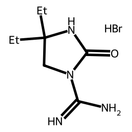 Br.CCC1(CC)CN(C(=N)N)C(=O)N1